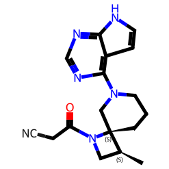 C[C@H]1CN(C(=O)CC#N)[C@@]12CCCN(c1ncnc3[nH]ccc13)C2